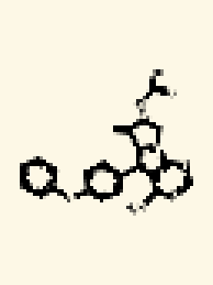 C=C1c2c(-c3ccc(Oc4ccccc4)cc3)c3c(N)ncnc3n2C[C@@H]1NC(=O)O